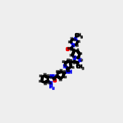 Cc1nc2ccc(C(=O)N3CCN(C)CC3)cn2c1-c1ccnc(Nc2ccc(C(=O)Nc3ccccc3N)cc2)c1